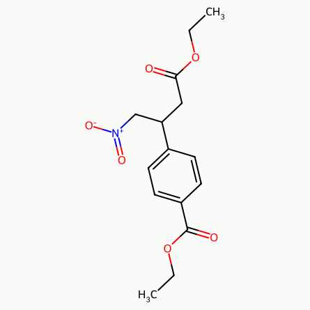 CCOC(=O)CC(C[N+](=O)[O-])c1ccc(C(=O)OCC)cc1